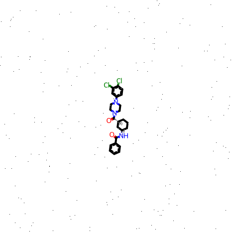 O=C(N[C@H]1CCC[C@@H](C(=O)N2CCN(c3ccc(Cl)c(Cl)c3)CC2)C1)c1ccccc1